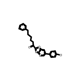 O=C(CCCCCc1ccccc1)c1nc2ncc(-c3ccc(Cl)cc3)cc2o1